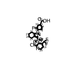 O=C(O)c1ccc(-n2nc(S(=O)(=O)c3c(C(F)(F)F)ccnc3Cl)c3c2CCCC3)c(F)c1